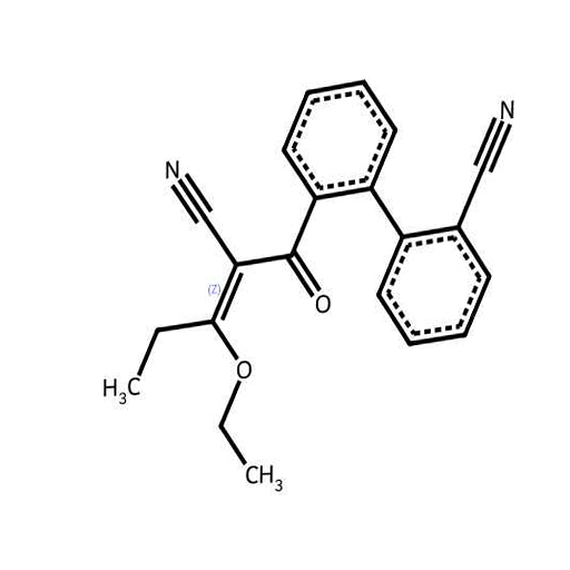 CCO/C(CC)=C(/C#N)C(=O)c1ccccc1-c1ccccc1C#N